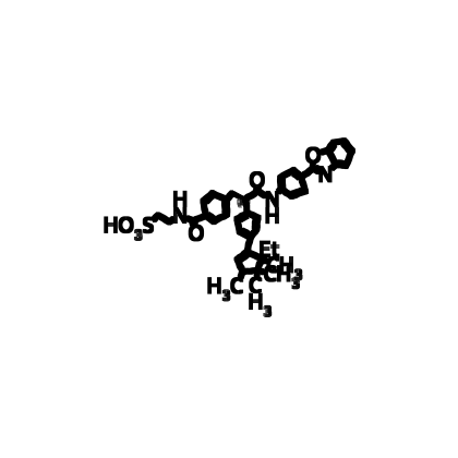 CCC1(C)C(c2ccc([C@@H](Cc3ccc(C(=O)NCCS(=O)(=O)O)cc3)C(=O)Nc3ccc(-c4nc5ccccc5o4)cc3)cc2)=CC(C)C1(C)C